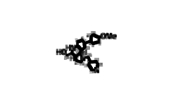 COc1ccc(-c2ccc3c(c2)[C@@H]2[C@@H](CCN2Cc2ccncc2)[C@@H](CO)N3)cc1